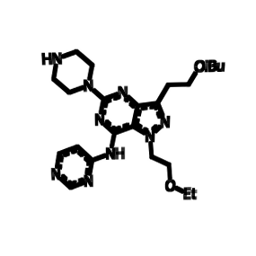 CCOCCn1nc(CCOCC(C)C)c2nc(N3CCNCC3)nc(Nc3ccncn3)c21